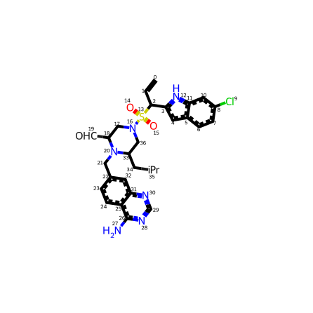 C=CC(c1cc2ccc(Cl)cc2[nH]1)S(=O)(=O)N1CC(C=O)N(Cc2ccc3c(N)ncnc3c2)C(CC(C)C)C1